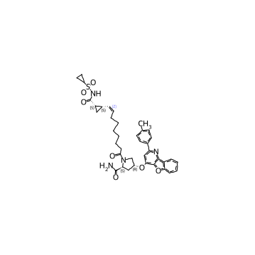 Cc1ccc(-c2cc(O[C@@H]3C[C@@H](C(N)=O)N(C(=O)CCCCCC/C=C\[C@@H]4C[C@@H]4C(=O)NS(=O)(=O)C4CC4)C3)c3oc4ccccc4c3n2)cc1